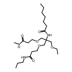 CCCCCCC(=O)NC(COCC)(COCCC(=O)NC)COCCC(=O)NCCC